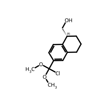 COC(Cl)(OC)c1ccc2c(c1)CCC[C@H]2CO